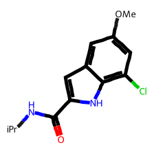 COc1cc(Cl)c2[nH]c(C(=O)NC(C)C)cc2c1